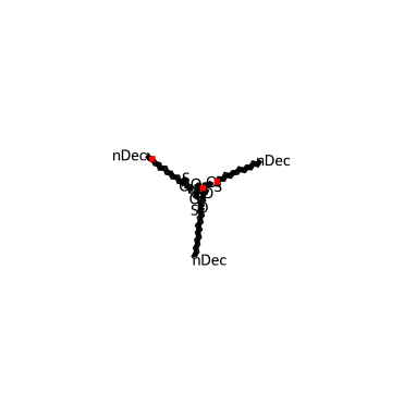 CCCCCCCCCCCCCCCCCCCCCCC(=S)OCCn1c(=O)n(CCOC(=S)CCCCCCCCCCCCCCCCCCCCCC)c(=O)n(CCOC(=S)CCCCCCCCCCCCCCCCCCCCCC)c1=O